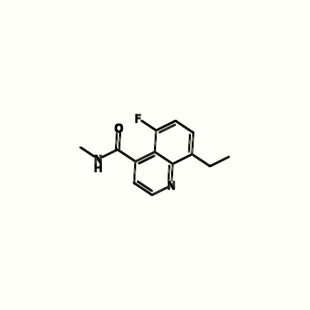 CCc1ccc(F)c2c(C(=O)NC)ccnc12